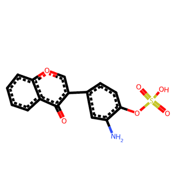 Nc1cc(-c2coc3ccccc3c2=O)ccc1OS(=O)(=O)O